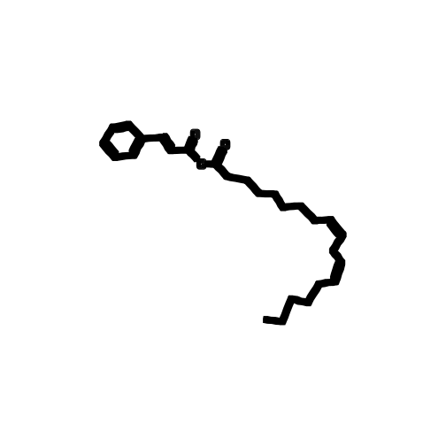 CCCCC/C=C\C/C=C\CCCCCCCC(=O)OC(=O)/C=C/c1ccccc1